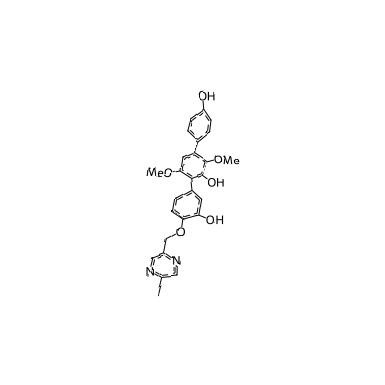 COc1cc(-c2ccc(O)cc2)c(OC)c(O)c1-c1ccc(OCc2cnc(C)cn2)c(O)c1